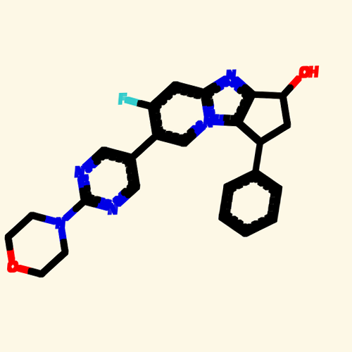 OC1CC(c2ccccc2)c2c1nc1cc(F)c(-c3cnc(N4CCOCC4)nc3)cn21